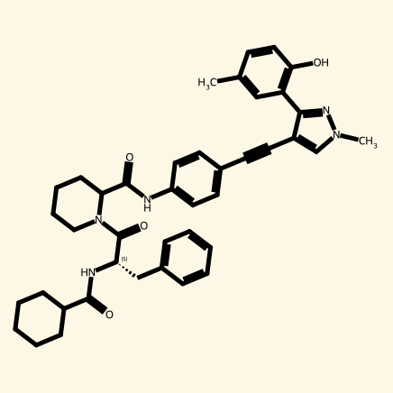 Cc1ccc(O)c(-c2nn(C)cc2C#Cc2ccc(NC(=O)C3CCCCN3C(=O)[C@H](Cc3ccccc3)NC(=O)C3CCCCC3)cc2)c1